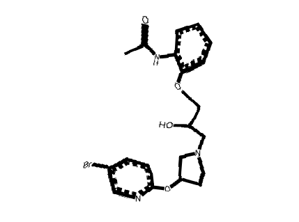 CC(=O)Nc1ccccc1OCC(O)CN1CCC(Oc2ccc(Br)cn2)C1